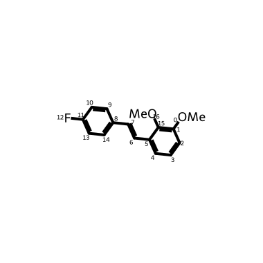 COc1cccc(C=Cc2ccc(F)cc2)c1OC